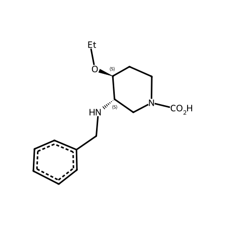 CCO[C@H]1CCN(C(=O)O)C[C@@H]1NCc1ccccc1